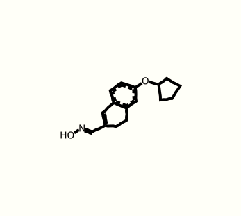 ON=CC1=Cc2ccc(OC3CCCC3)cc2CC1